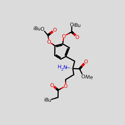 CCC(C)CC(=O)OCC[C@@](N)(Cc1ccc(OC(=O)OCC(C)C)c(OC(=O)OCC(C)C)c1)C(=O)OC